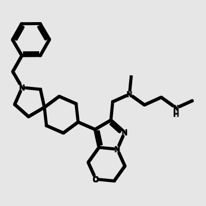 CNCCN(C)Cc1nn2c(c1C1CCC3(CC1)CCN(Cc1ccccc1)C3)COCC2